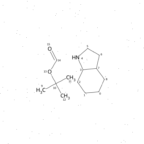 C1CCC2NCCC2C1.CC(C)(C)OC=O